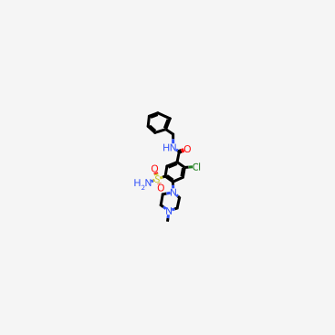 CN1CCN(c2cc(Cl)c(C(=O)NCc3ccccc3)cc2S(N)(=O)=O)CC1